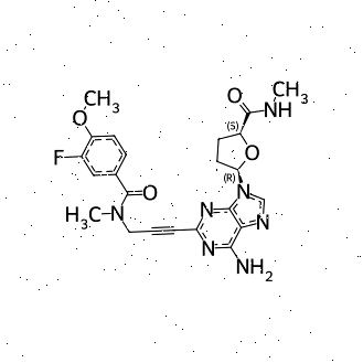 CNC(=O)[C@@H]1CC[C@H](n2cnc3c(N)nc(C#CCN(C)C(=O)c4ccc(OC)c(F)c4)nc32)O1